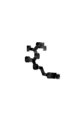 COCCOC(=O)OC(C)F